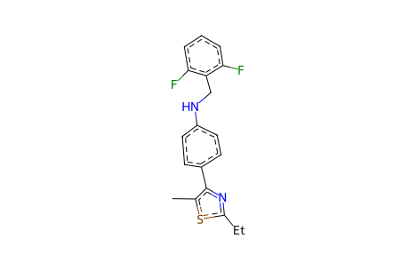 CCc1nc(-c2ccc(NCc3c(F)cccc3F)cc2)c(C)s1